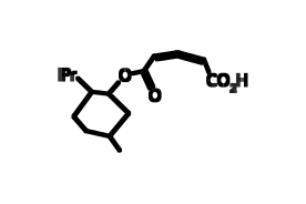 CC1CCC(C(C)C)C(OC(=O)C=C=CC(=O)O)C1